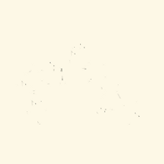 CN(C)Cc1cncc(-c2ccc3[nH]nc(C(=O)Nc4ccnc(N5CCC5)c4)c3c2)c1